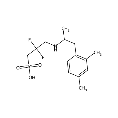 Cc1ccc(CC(C)NCC(F)(F)CS(=O)(=O)O)c(C)c1